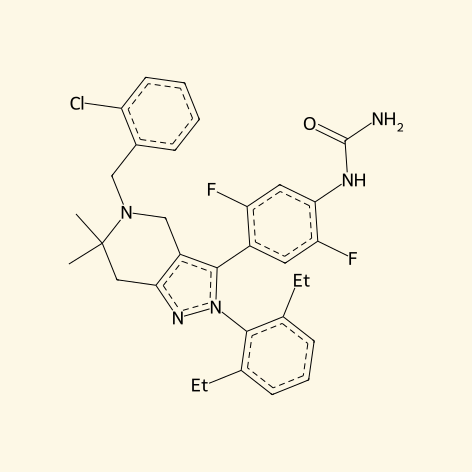 CCc1cccc(CC)c1-n1nc2c(c1-c1cc(F)c(NC(N)=O)cc1F)CN(Cc1ccccc1Cl)C(C)(C)C2